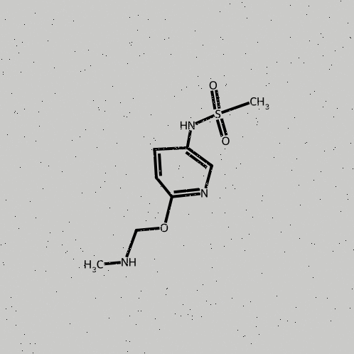 CNCOc1ccc(NS(C)(=O)=O)cn1